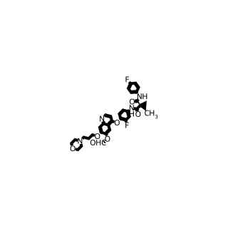 C[C@@H]1C[C@@]1(C(=O)Nc1ccc(F)cc1)C(=O)Nc1ccc(Oc2ccnc3cc(OCCCN4CCOCC4)c(OC=O)cc23)c(F)c1